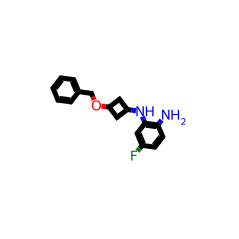 Nc1ccc(F)cc1NC1CC(OCc2ccccc2)C1